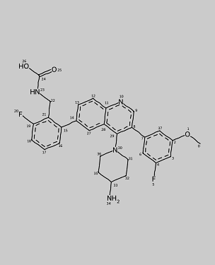 COc1cc(F)cc(-c2cnc3ccc(-c4cccc(F)c4CNC(=O)O)cc3c2N2CCC(N)CC2)c1